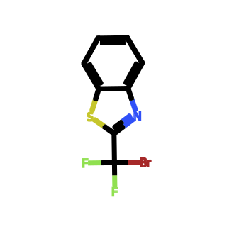 FC(F)(Br)c1nc2ccccc2s1